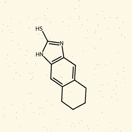 Sc1nc2cc3c(cc2[nH]1)CCCC3